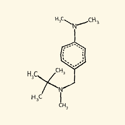 CN(C)c1ccc(CN(C)C(C)(C)C)cc1